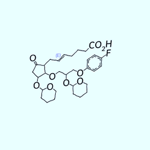 O=C(O)CCC/C=C/CC1C(=O)CC(OC2CCCCO2)C1OCC(COc1ccc(F)cc1)OC1CCCCO1